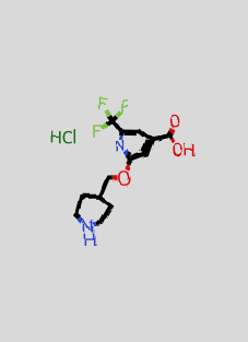 Cl.O=C(O)c1cc(OCC2CCNCC2)nc(C(F)(F)F)c1